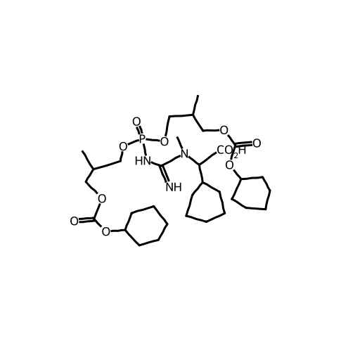 CC(COC(=O)OC1CCCCC1)COP(=O)(NC(=N)N(C)C(C(=O)O)C1CCCCC1)OCC(C)COC(=O)OC1CCCCC1